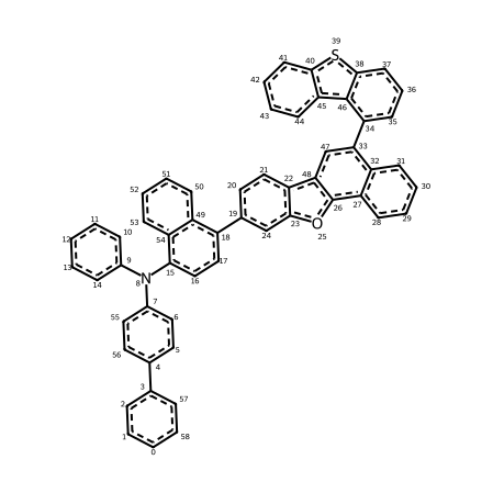 c1ccc(-c2ccc(N(c3ccccc3)c3ccc(-c4ccc5c(c4)oc4c6ccccc6c(-c6cccc7sc8ccccc8c67)cc54)c4ccccc34)cc2)cc1